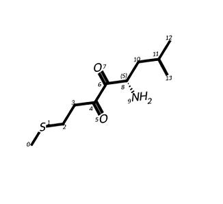 CSCCC(=O)C(=O)[C@@H](N)CC(C)C